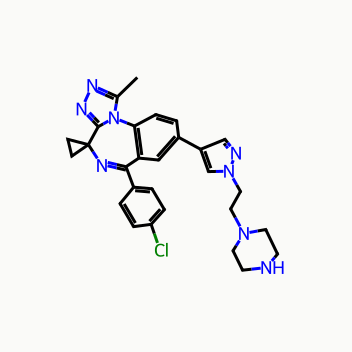 Cc1nnc2n1-c1ccc(-c3cnn(CCN4CCNCC4)c3)cc1C(c1ccc(Cl)cc1)=NC21CC1